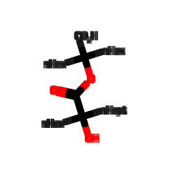 CCCCCCCC(O)(CCCCCC)C(=O)OC(CCCCCC)(CCCCCC)C(=O)O